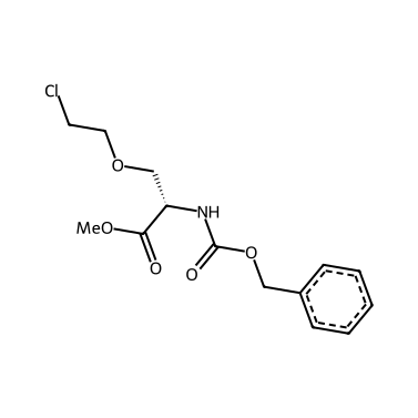 COC(=O)[C@H](COCCCl)NC(=O)OCc1ccccc1